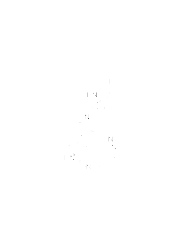 CC(C)NC(=O)ON1CCC(c2nncc3cnc4[nH]ccc4c23)C1